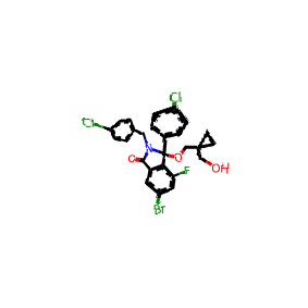 O=C1c2cc(Br)cc(F)c2C(OCC2(CO)CC2)(c2ccc(Cl)cc2)N1Cc1ccc(Cl)cc1